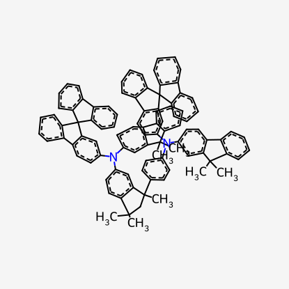 CC1(C)CC(C)(c2ccc(N(c3ccc4c(c3)C(C)(C)c3ccccc3-4)c3ccc4c(c3)C3(c5ccccc5-c5ccccc53)c3ccccc3-4)cc2)c2cc(N(c3ccc4c(c3)C(C)(C)c3ccccc3-4)c3ccc4c(c3)C3(c5ccccc5-c5ccccc53)c3ccccc3-4)ccc21